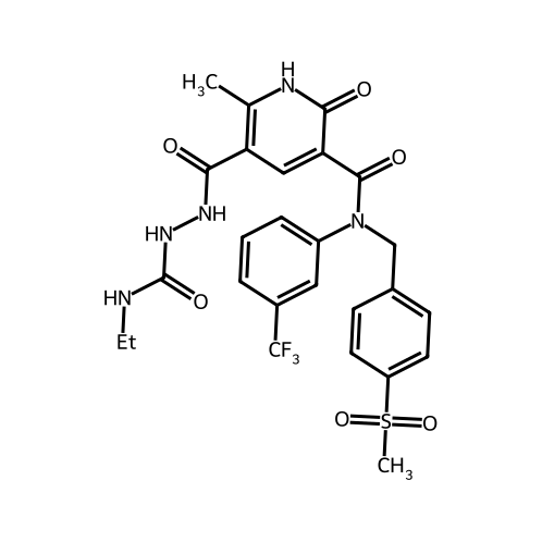 CCNC(=O)NNC(=O)c1cc(C(=O)N(Cc2ccc(S(C)(=O)=O)cc2)c2cccc(C(F)(F)F)c2)c(=O)[nH]c1C